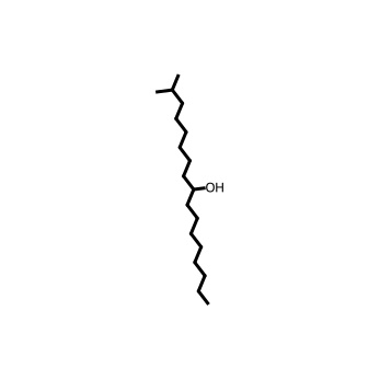 CCCCCCCCC(O)CCCCCCC(C)C